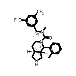 Cc1ccccc1[C@H]1[C@@H]2CNC[C@H]2CCN1C(=O)N(C)[C@H](C)c1cc(C(F)(F)F)cc(C(F)(F)F)c1